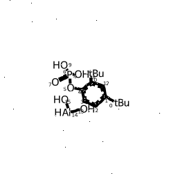 CC(C)(C)c1ccc(OP(=O)(O)O)c(C(C)(C)C)c1.[OH][AlH][OH]